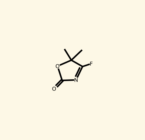 CC1(C)OC(=O)N=C1F